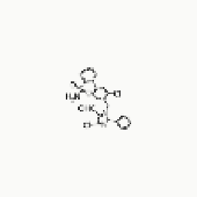 NS(=O)(=O)c1ccccc1-c1ccc(Cn2c(-c3ccccc3)nc(Cl)c2C=O)c(Cl)c1